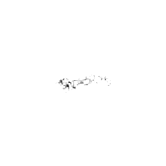 Cc1cc(C=O)ccc1-c1ccc(C2CCN(C(=O)OC(C)(C)C)CC2)cc1